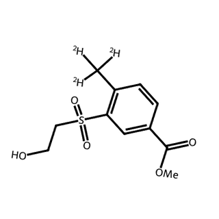 [2H]C([2H])([2H])c1ccc(C(=O)OC)cc1S(=O)(=O)CCO